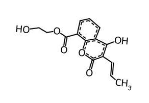 CC=Cc1c(O)c2cccc(C(=O)OCCO)c2oc1=O